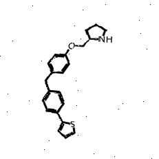 c1csc(-c2ccc(Cc3ccc(OC[C@H]4CCCN4)cc3)cc2)c1